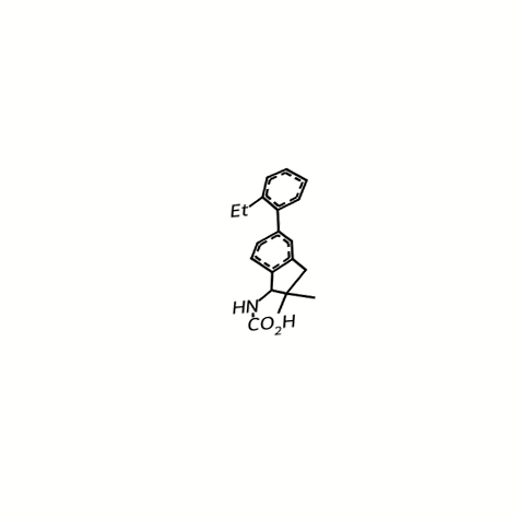 CCc1ccccc1-c1ccc2c(c1)CC(C)(C)C2NC(=O)O